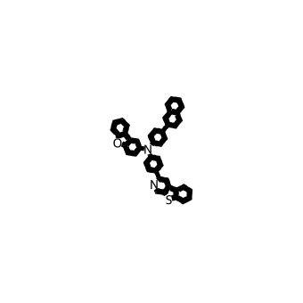 c1ccc2cc(-c3ccc(N(c4ccc(-c5cc6c(cn5)sc5ccccc56)cc4)c4ccc5oc6ccccc6c5c4)cc3)ccc2c1